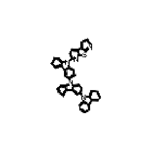 c1cnc2sc3nc(-n4c5ccccc5c5cc(-n6c7ccccc7c7cc(-n8c9ccccc9c9ccccc98)ccc76)ccc54)ccc3c2c1